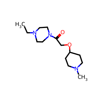 CCN1CCN(C(=O)COC2CCN(C)CC2)CC1